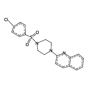 O=S(=O)(c1ccc(Cl)cc1)N1CCN(c2ccc3ccccc3n2)CC1